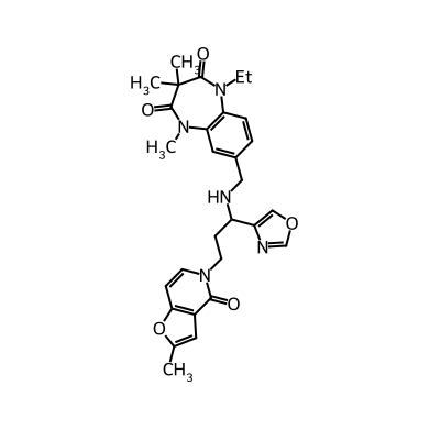 CCN1C(=O)C(C)(C)C(=O)N(C)c2cc(CNC(CCn3ccc4oc(C)cc4c3=O)c3cocn3)ccc21